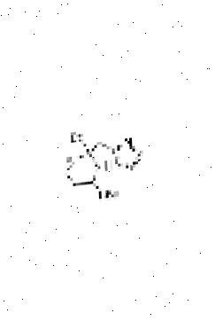 CCCCC1CCSC(CC)(Cc2ncc[nH]2)S1